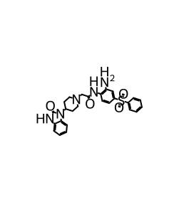 Nc1cc(S(=O)(=O)c2ccccc2)ccc1NC(=O)CN1CCC(n2c(=O)[nH]c3ccccc32)CC1